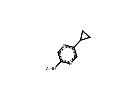 CC(=O)Nc1cnc(C2CC2)cn1